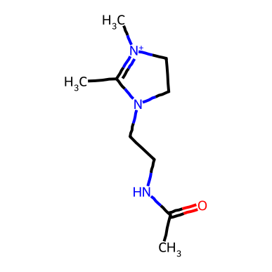 CC(=O)NCCN1CC[N+](C)=C1C